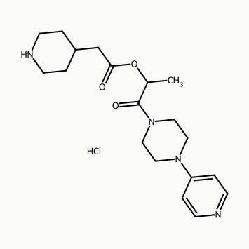 CC(OC(=O)CC1CCNCC1)C(=O)N1CCN(c2ccncc2)CC1.Cl